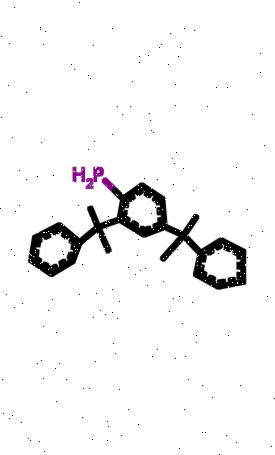 CC(C)(c1ccccc1)c1ccc(P)c(C(C)(C)c2ccccc2)c1